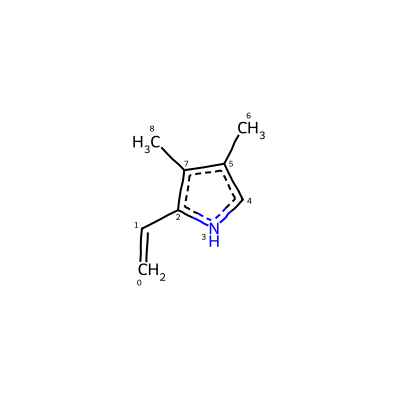 C=Cc1[nH]cc(C)c1C